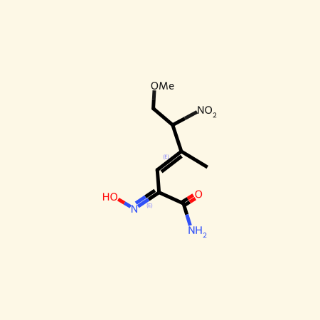 COCC(/C(C)=C/C(=N\O)C(N)=O)[N+](=O)[O-]